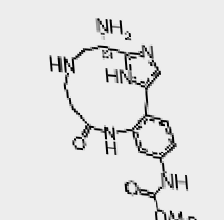 COC(=O)Nc1ccc2c(c1)NC(=O)CCNC[C@H](N)c1ncc-2[nH]1